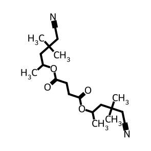 CC(CC(C)(C)CC#N)OC(=O)CCC(=O)OC(C)CC(C)(C)CC#N